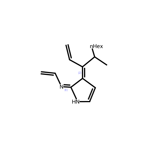 C=C/N=C1/NC=C/C1=C(/C=C)C(C)CCCCCC